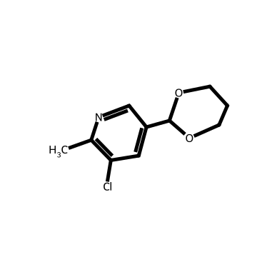 Cc1ncc(C2OCCCO2)cc1Cl